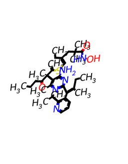 C=C(S/C=C(\CC)CC(C)(C)C(=O)NO)[C@](C)(C(=O)CCC)c1c(C)nc(/C(=C(/C)CC)c2cccnc2C(C)C)nc1N